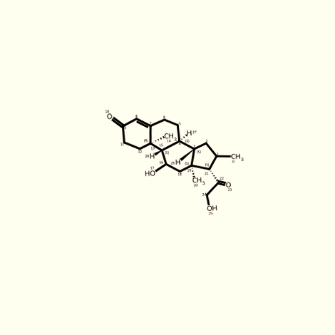 CC1C[C@H]2[C@@H]3CCC4=CC(=O)CC[C@]4(C)[C@H]3C(O)C[C@]2(C)[C@H]1C(=O)CO